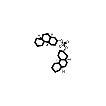 C[C@]12CC[C@@H](OS(=O)(=O)O[C@@H]3CC[C@]4(C)C5CCCC[C@@H]5CC[C@@H]4C3)C[C@H]1CC[C@H]1CCCCC12